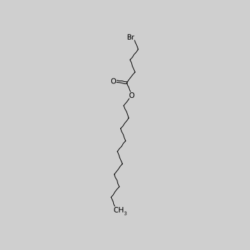 CCCCCCCCCCOC(=O)CCCBr